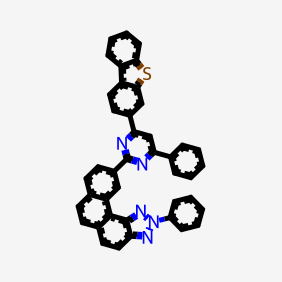 c1ccc(-c2cc(-c3ccc4c(c3)sc3ccccc34)nc(-c3ccc4ccc5ccc6nn(-c7ccccc7)nc6c5c4c3)n2)cc1